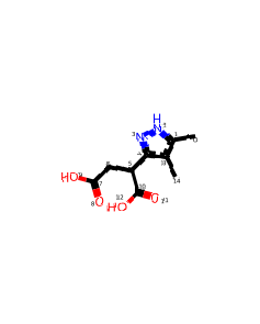 Cc1[nH]nc(C(CC(=O)O)C(=O)O)c1C